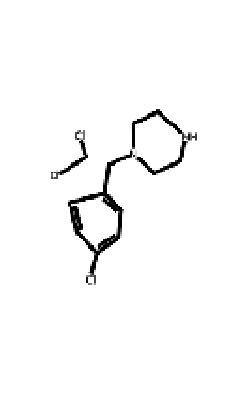 ClCCl.Clc1ccc(CN2CCNCC2)cc1